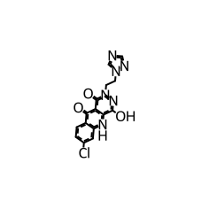 O=c1c2ccc(Cl)cc2[nH]c2c(O)nn(CCn3cncn3)c(=O)c12